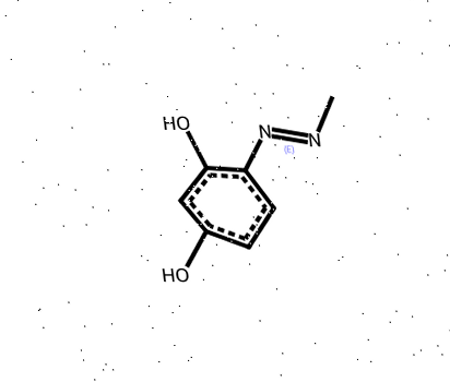 C/N=N/c1ccc(O)cc1O